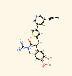 CC#Cc1cncc(-c2csc(CC(C(=O)N(C)C(=N)N)c3ccc4c(c3)OCO4)c2)c1